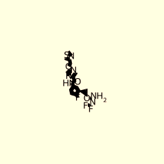 N/C(=N/C(F)F)O[C@@H]1C[C@@H]1c1cc(NC(=O)c2cnc(OCc3cscn3)cn2)ccc1F